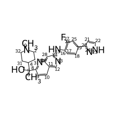 CN1CCC(C(C)(O)c2ccc3cnc(Nc4ccc(-c5cc[nH]n5)cc4F)cc3n2)CC1